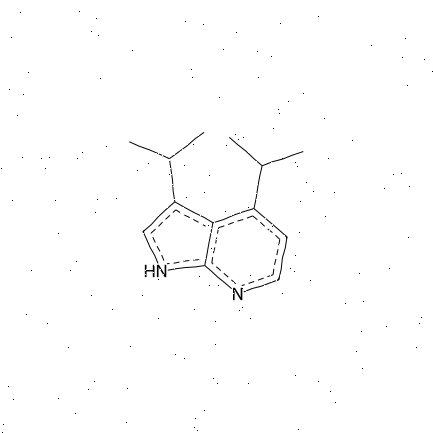 CC(C)c1ccnc2[nH]cc(C(C)C)c12